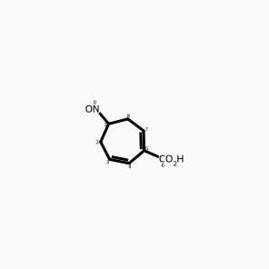 O=NC1CC=CC(C(=O)O)=CC1